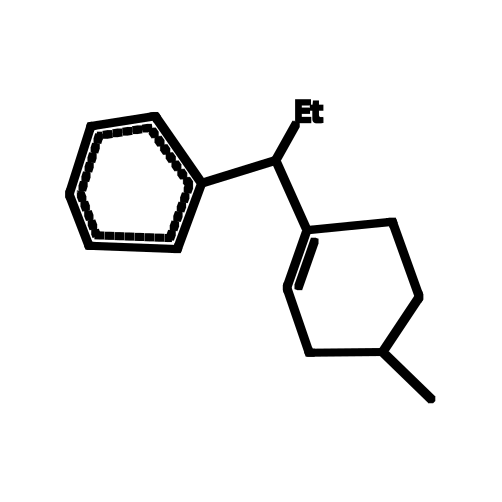 CCC(C1=CCC(C)CC1)c1ccccc1